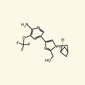 Nc1ncc(-c2cn([C@H]3CC4CC3C4)c(CO)n2)cc1OC(F)(F)F